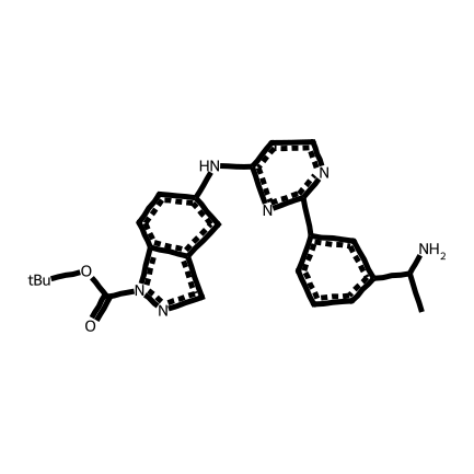 CC(N)c1cccc(-c2nccc(Nc3ccc4c(cnn4C(=O)OC(C)(C)C)c3)n2)c1